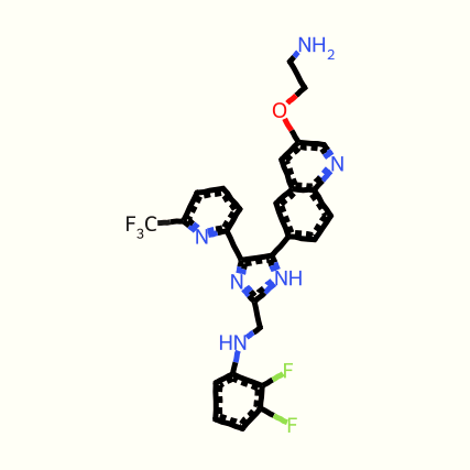 NCCOc1cnc2ccc(-c3[nH]c(CNc4cccc(F)c4F)nc3-c3cccc(C(F)(F)F)n3)cc2c1